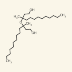 CCCCCCCCCCC(C)(CCO)OC(C)(CCO)CCCCCCCCCC